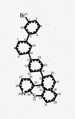 Brc1cccc(-c2cccc(-c3ccc(-c4ccc5cccc6c5c4-c4cccnc4S6)cc3)c2)c1